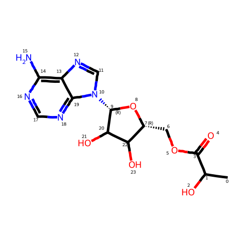 CC(O)C(=O)OC[C@H]1O[C@@H](n2cnc3c(N)ncnc32)C(O)C1O